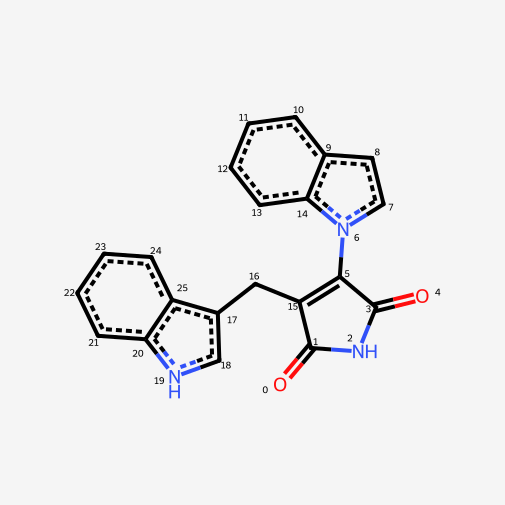 O=C1NC(=O)C(n2ccc3ccccc32)=C1Cc1c[nH]c2ccccc12